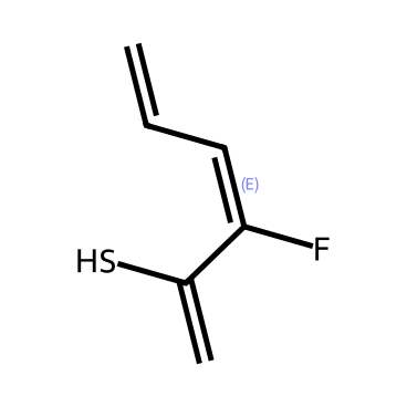 C=C/C=C(/F)C(=C)S